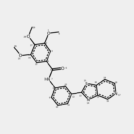 COc1cc(C(=O)Nc2cccc(-c3nc4cnccc4s3)c2)cc(OC)c1OC